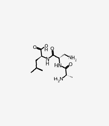 CC(C)C[C@H](NC(=O)[C@H](CN)NC(=O)[C@H](C)N)C(=O)O